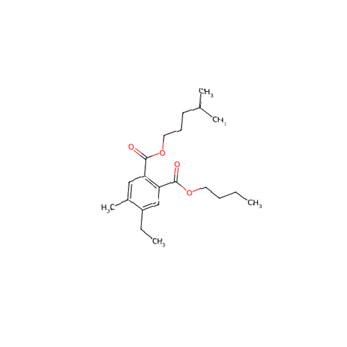 CCCCOC(=O)c1cc(CC)c(C)cc1C(=O)OCCCC(C)C